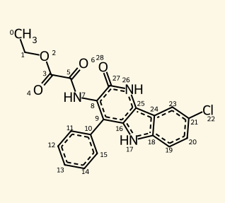 CCOC(=O)C(=O)Nc1c(-c2ccccc2)c2[nH]c3ccc(Cl)cc3c2[nH]c1=O